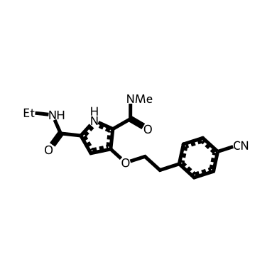 CCNC(=O)c1cc(OCCc2ccc(C#N)cc2)c(C(=O)NC)[nH]1